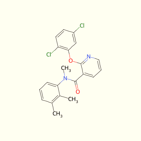 Cc1cccc(N(C)C(=O)c2cccnc2Oc2cc(Cl)ccc2Cl)c1C